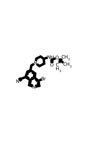 CC(C)(C)OC(=O)NC1CCN(Cc2cc(C#N)c3cncc(Br)c3c2)CC1